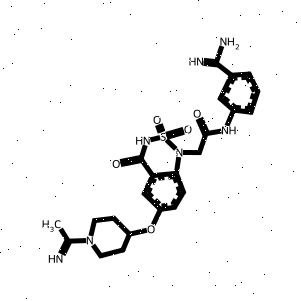 CC(=N)N1CCC(Oc2ccc3c(c2)C(=O)NS(=O)(=O)N3CC(=O)Nc2cccc(C(=N)N)c2)CC1